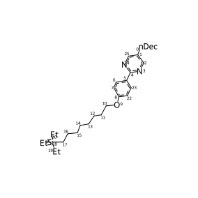 CCCCCCCCCCc1cnc(-c2ccc(OCCCCCCCC[Si](CC)(CC)CC)cc2)nc1